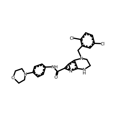 O=C(Nc1ccc(N2CCOCC2)cc1)c1c2c3c(n1-2)NCCN3Cc1cc(Cl)ccc1Cl